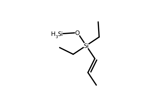 CC=C[Si](CC)(CC)O[SiH3]